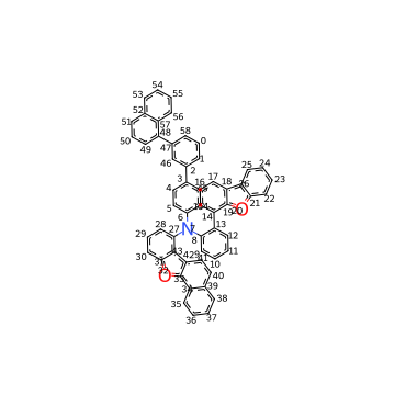 c1cc(-c2ccc(N(c3ccccc3-c3cccc4c3oc3ccccc34)c3cccc4oc5c6ccccc6ccc5c34)cc2)cc(-c2cccc3ccccc23)c1